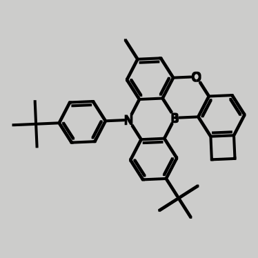 Cc1cc2c3c(c1)N(c1ccc(C(C)(C)C)cc1)c1ccc(C(C)(C)C)cc1B3c1c(ccc3c1CC3)O2